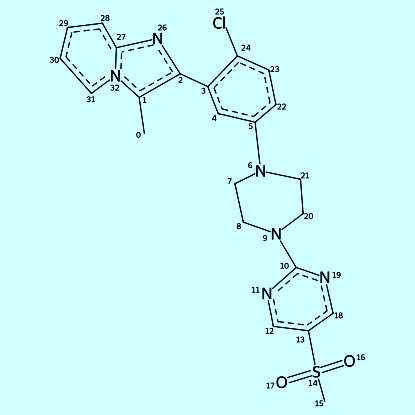 Cc1c(-c2cc(N3CCN(c4ncc(S(C)(=O)=O)cn4)CC3)ccc2Cl)nc2ccccn12